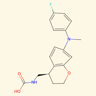 CN(c1ccc(F)cc1)c1ccc2c(c1)OCC[C@H]2CNC(=O)O